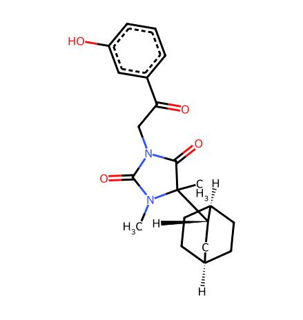 CN1C(=O)N(CC(=O)c2cccc(O)c2)C(=O)C1(C)[C@H]1C[C@H]2CC[C@@H]1CC2